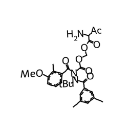 COc1cccc(C(=O)N(C(=O)OCOC(=O)C(N)C(C)=O)N(C(=O)c2cc(C)cc(C)c2)C(C)(C)C)c1C